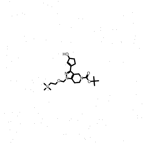 CC(C)(C)OC(=O)N1CCc2c(c(C3=CC(O)CC3)nn2COCC[Si](C)(C)C)C1